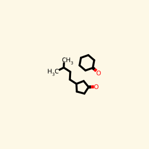 CC(C)CCC1CCC(=O)C1.O=C1CCCCC1